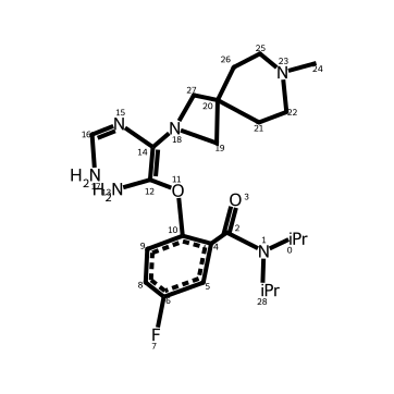 CC(C)N(C(=O)c1cc(F)ccc1O/C(N)=C(/N=C\N)N1CC2(CCN(C)CC2)C1)C(C)C